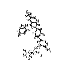 CC(C)(N)COc1nc(-c2ccc(CNc3ncc(C(F)(F)F)cc3C(=O)NC3=C=C=C(F)C=C3)cc2)cnc1N